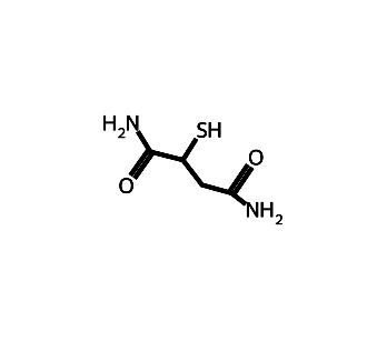 NC(=O)CC(S)C(N)=O